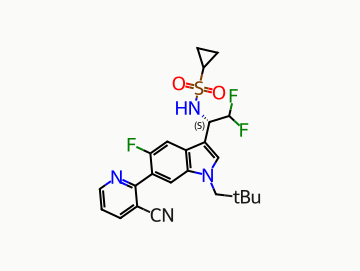 CC(C)(C)Cn1cc([C@H](NS(=O)(=O)C2CC2)C(F)F)c2cc(F)c(-c3ncccc3C#N)cc21